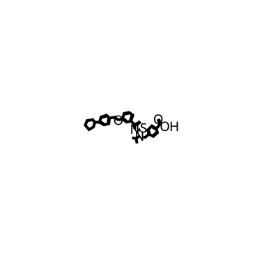 CC(C)N(Cc1ccc(C(=O)O)cc1)c1nc(-c2cccc(OCc3ccc(C4CCCCC4)cc3)c2)cs1